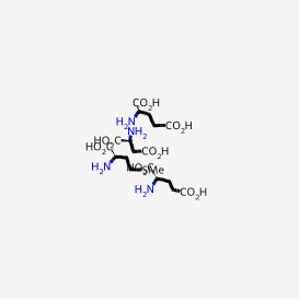 CSCC[C@H](N)C(=O)O.N[C@@H](CC(=O)O)C(=O)O.N[C@@H](CCC(=O)O)C(=O)O.N[C@@H](CCC(=O)O)C(=O)O